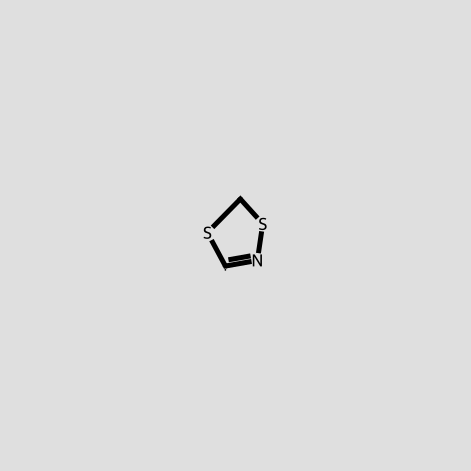 [C]1=NSCS1